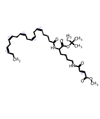 CC/C=C\C/C=C\C/C=C\C/C=C\C/C=C\CCCC(=O)NC(CCCCNC(=O)/C=C/C(=O)OC)C(=O)OC(C)(C)C